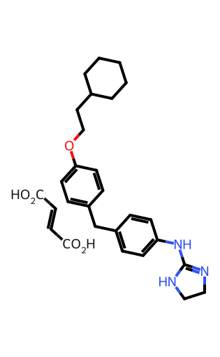 O=C(O)C=CC(=O)O.c1cc(NC2=NCCN2)ccc1Cc1ccc(OCCC2CCCCC2)cc1